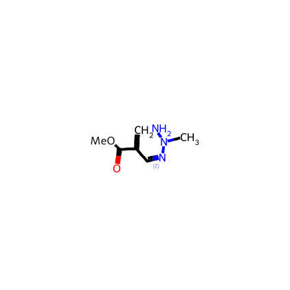 C=C(/C=N\N(C)N)C(=O)OC